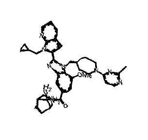 B[C@]1(N)C2CCC1N(C(=O)c1cc(OC)c3c(c1)nc(-c1cc4cccnc4n1CC1CC1)n3CC1CCN(c3ccnc(C)n3)CC1)C2